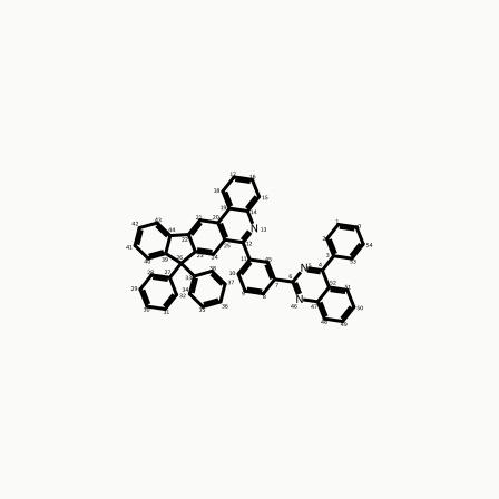 c1ccc(-c2nc(-c3cccc(-c4nc5ccccc5c5cc6c(cc45)C(c4ccccc4)(c4ccccc4)c4ccccc4-6)c3)nc3ccccc23)cc1